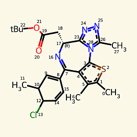 Cc1sc2c(c1C)C(C1=CC(C)C(Cl)C=C1)=N[C@H](CC(=O)OC(C)(C)C)c1nnc(C)n1-2